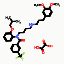 COc1ccc(CCCNCCCCN(C(=O)c2cccc(C(F)(F)F)c2)c2ccccc2OCC(C)C)cc1OC.O=C(O)C(=O)O